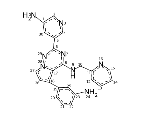 Nc1cncc(-c2nc(NCc3ccccn3)c3c(-c4cccc(N)c4)ccn3n2)c1